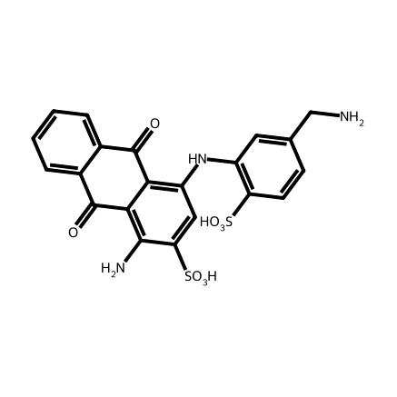 NCc1ccc(S(=O)(=O)O)c(Nc2cc(S(=O)(=O)O)c(N)c3c2C(=O)c2ccccc2C3=O)c1